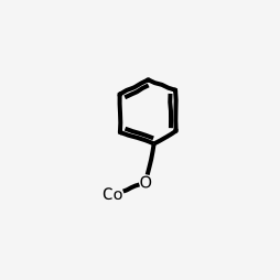 [Co][O]c1ccccc1